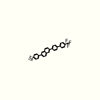 C[Si](C)(C)c1ccc(-c2ccc3cc(-c4ccc(-c5ccc(C(F)(F)F)cc5)cc4)ccc3c2)cc1